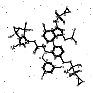 CC(C)(CCc1ccc(-c2ccc(Cl)c3c(NS(=O)(=O)C4CC4)nn(CC(F)F)c23)c([C@H](Cc2cc(F)cc(F)c2)NC(=O)Cn2nc(C(F)(F)F)c3c2C(F)(F)C2C[C@H]32)n1)S(=O)(=O)C1CC1